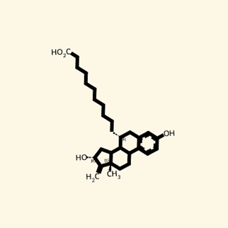 C=C1[C@H](O)CC2C3C(CC[C@]12C)c1ccc(O)cc1C[C@H]3CCCCCCCCCCC(=O)O